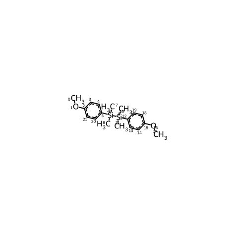 COc1ccc([Si](C)(C)[Si](C)(C)c2ccc(OC)cc2)cc1